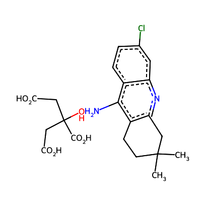 CC1(C)CCc2c(nc3cc(Cl)ccc3c2N)C1.O=C(O)CC(O)(CC(=O)O)C(=O)O